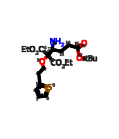 CCOC(=O)C(OCCc1cccs1)(C(=O)OCC)C(N)CCC(=O)OC(C)(C)C